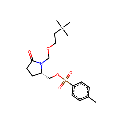 Cc1ccc(S(=O)(=O)OC[C@@H]2CCC(=O)N2COCC[Si](C)(C)C)cc1